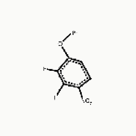 CC(C)Oc1ccc([N+](=O)[O-])c(F)c1F